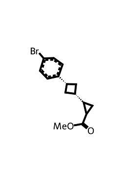 COC(=O)C1CC1[C@H]1C[C@@H](c2ccc(Br)cc2)C1